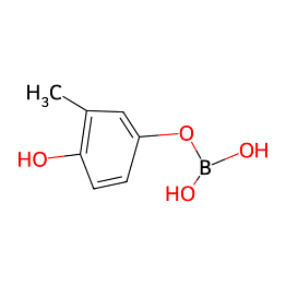 Cc1cc(OB(O)O)ccc1O